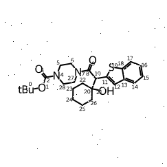 CC(C)(C)OC(=O)N1CCN(C(=O)C(c2cc3ccccc3s2)C2(O)CCCCC2)CC1